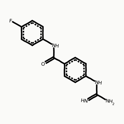 N=C(N)Nc1ccc(C(=O)Nc2ccc(F)cc2)cc1